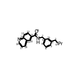 CC(C)Cc1cccc(CNC(=O)c2ccc3ncccc3c2)c1